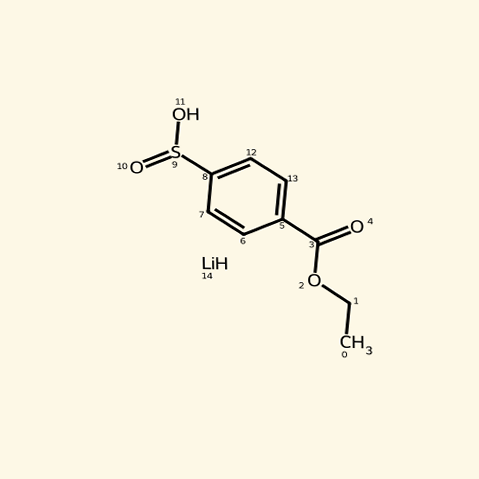 CCOC(=O)c1ccc(S(=O)O)cc1.[LiH]